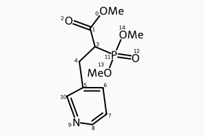 COC(=O)C(Cc1cccnc1)P(=O)(OC)OC